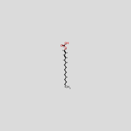 CCCCCCCCCCCCC=CC=COC(=O)O